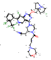 C[C@@H]1CN(C/C=C/C(=O)N2CCN(c3nc(OC[C@@]45CCCN4C[C@H](F)C5)nc4c(F)c(-c5cccc(Cl)c5C(F)(F)F)ncc34)C[C@@H]2CC#N)C[C@H](C)O1